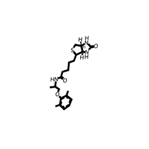 Cc1cccc(C)c1OCC(C)NC(=O)CCCCC1SC[C@@H]2NC(=O)N[C@H]12